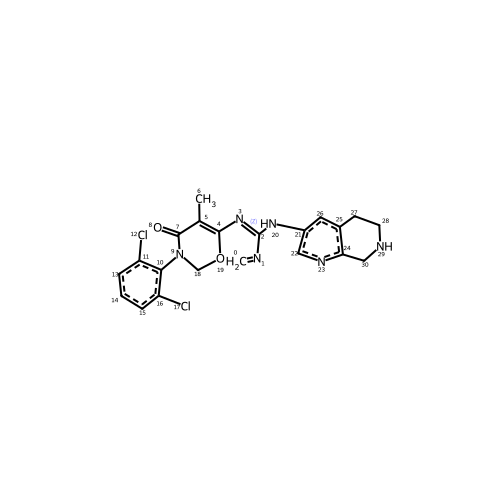 C=N/C(=N\C1=C(C)C(=O)N(c2c(Cl)cccc2Cl)CO1)Nc1cnc2c(c1)CCNC2